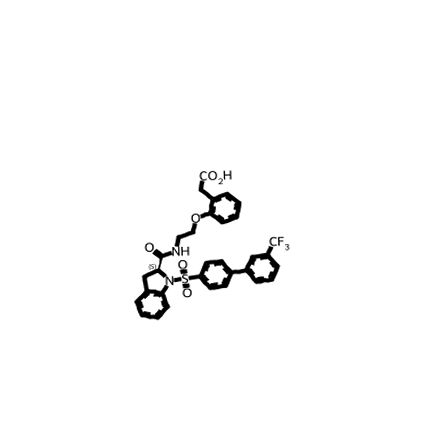 O=C(O)Cc1ccccc1OCCNC(=O)[C@@H]1Cc2ccccc2N1S(=O)(=O)c1ccc(-c2cccc(C(F)(F)F)c2)cc1